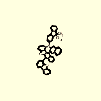 CC1(C)c2ccccc2-c2ccc(N(c3ccc4ccccc4c3)c3cccc4oc5c(-c6cccc7c6oc6ccccc67)c6ccccc6cc5c34)cc21